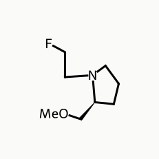 COC[C@@H]1CCCN1CCF